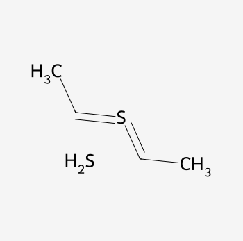 CC=S=CC.S